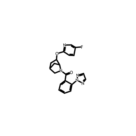 O=C(c1ccccc1-n1nccn1)N1CC2CC(Oc3ccc(F)cn3)C1C2